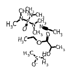 CC#N.CCOC(=O)C(C)O.CN(C)P(=O)(N(C)C)N(C)C.C[S+](C)[O-]